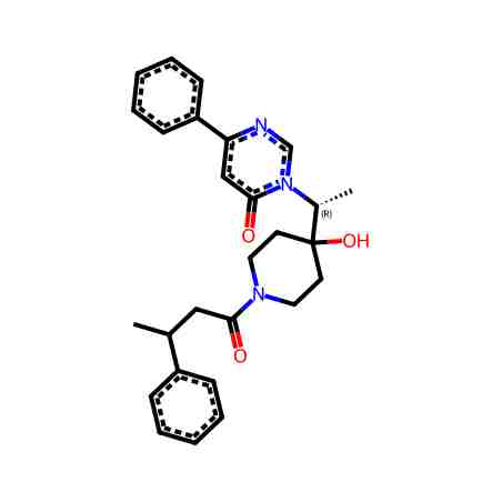 CC(CC(=O)N1CCC(O)([C@@H](C)n2cnc(-c3ccccc3)cc2=O)CC1)c1ccccc1